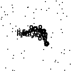 C[Si](C)(C)CCOCN1C(=O)CCC(N2Cc3cc(O[C@H]4CN(c5ccccc5)C[C@@H]4NC(=O)O)ccc3C2=O)C1=O